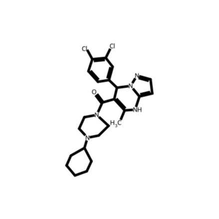 CC1=C(C(=O)N2CCN(C3CCCCC3)CC2)C(c2ccc(Cl)c(Cl)c2)n2nccc2N1